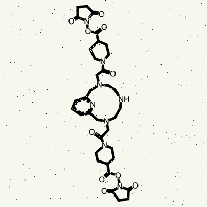 O=C(ON1C(=O)CCC1=O)C1CCN(C(=O)CN2CCNCCN(CC(=O)N3CCC(C(=O)ON4C(=O)CCC4=O)CC3)Cc3cccc(n3)C2)CC1